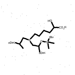 CCCCCCCCCCC(C)CN(CCCCC(O)C(=O)O)CC(CCCCCCCCCC)O[Si](C)(C)C(C)(C)C